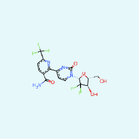 NC(=O)c1ccc(C(F)(F)F)nc1-c1ccn([C@@H]2O[C@H](CO)[C@@H](O)C2(F)F)c(=O)n1